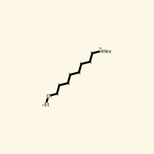 [CH2]COCCCCCCCCCCCCCC